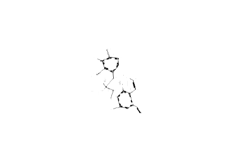 C=Cc1cc(C)cc(N[C@@H](c2ccc(C)c(F)c2Cl)[C@](O)(CO)C(F)(F)F)c1/C=C\C(C)=O